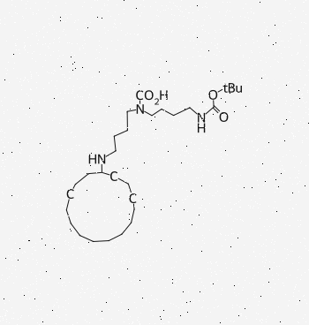 CC(C)(C)OC(=O)NCCCCN(CCCCNC1CCCCCCCCCCCCCC1)C(=O)O